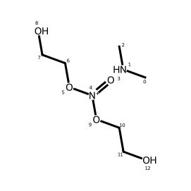 CNC.O=[N+](OCCO)OCCO